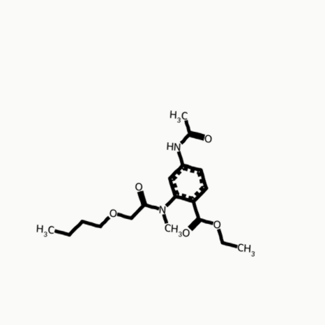 CCCCOCC(=O)N(C)c1cc(NC(C)=O)ccc1C(=O)OCC